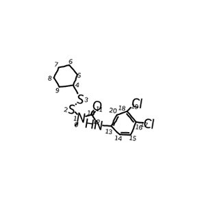 CN(SSC1CCCCC1)C(=O)Nc1ccc(Cl)c(Cl)c1